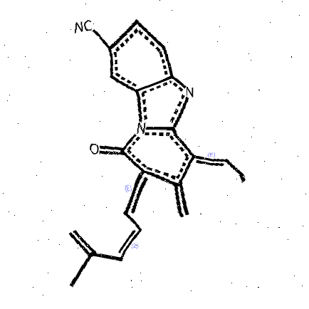 C=C(C)/C=C\C=c1/c(=C)/c(=C\C)c2nc3ccc(C#N)cc3n2c1=O